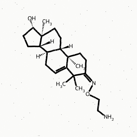 CC1(C)C2=CC[C@H]3[C@@H]4CC[C@H](O)[C@@]4(C)CC[C@@H]3[C@@]2(C)CC/C1=N/OCCN